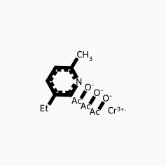 CC(=O)[O-].CC(=O)[O-].CC(=O)[O-].CCc1ccc(C)nc1.[Cr+3]